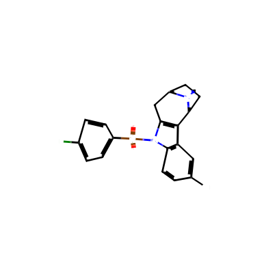 Cc1ccc2c(c1)c1c(n2S(=O)(=O)c2ccc(F)cc2)CC2CCC1N2C